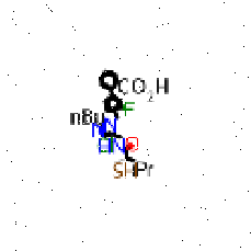 CCCCc1nc(Cl)c(CNC(=O)[C@@H](CS)CC(C)C)n1Cc1ccc(-c2ccccc2C(=O)O)cc1F